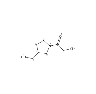 O=C(CCl)N1CCC(CO)C1